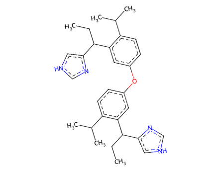 CCC(c1c[nH]cn1)c1cc(Oc2ccc(C(C)C)c(C(CC)c3c[nH]cn3)c2)ccc1C(C)C